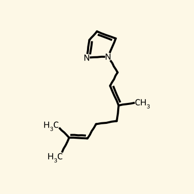 CC(C)=CCC/C(C)=C/Cn1cccn1